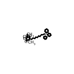 COC1=C(OC)C(=O)C(CCCCCCCCCC[P](c2ccccc2)(c2ccccc2)c2ccccc2)=C(C)C1=O